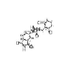 O=C(NCc1c(Cl)cccc1Cl)Nc1ccc2c(c1)C(=O)NC2=O